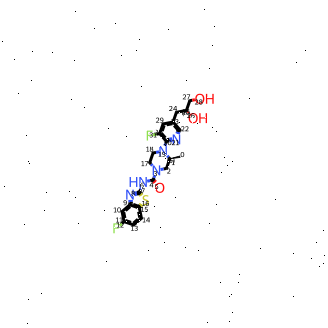 C[C@H]1CN(C(=O)Nc2nc3cc(F)ccc3s2)CCN1c1ncc(C[C@@H](O)CO)cc1F